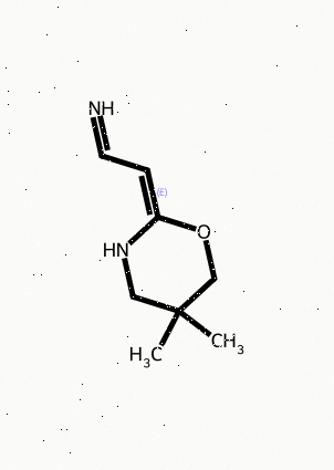 CC1(C)CN/C(=C\C=N)OC1